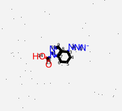 [N-]=[N+]=NC1CCCc2c1cnn2C(=O)O